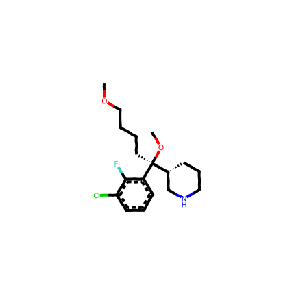 COCCCC[C@@](OC)(c1cccc(Cl)c1F)[C@@H]1CCCNC1